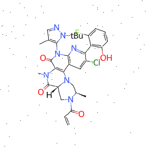 C=CC(=O)N1C[C@@H]2C(=O)N(C)c3c(c4cc(Cl)c(-c5c(O)cccc5F)nc4n(-c4c(C)cnn4C(C)(C)C)c3=O)N2C[C@H]1C